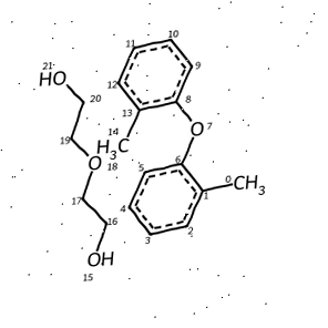 Cc1ccccc1Oc1ccccc1C.OCCOCCO